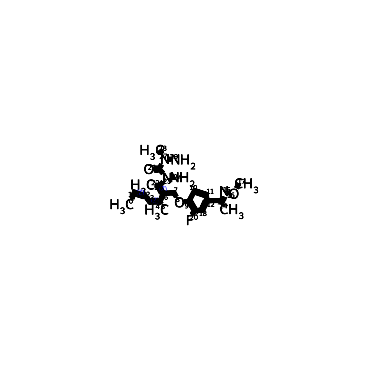 C\C=C/C=C(C)\C(COc1ccc(C(C)=NOC)cc1F)=C(/C)N(N)C(=O)N(C)N